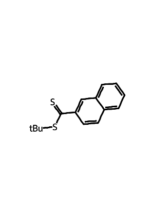 CC(C)(C)SC(=S)c1ccc2ccccc2c1